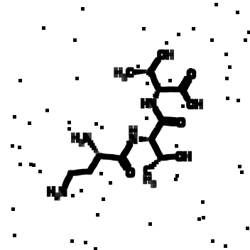 C[C@H](O)[C@@H](NC(=O)[C@@H](NC(=O)[C@@H](N)CCN)[C@@H](C)O)C(=O)O